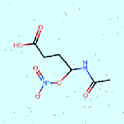 CC(=O)NC(CCC(=O)O)O[N+](=O)[O-]